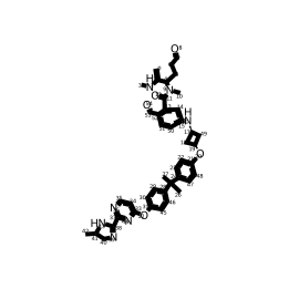 C=C(NC)C(CCC=O)N(C)C(=O)c1cc(N[C@H]2C[C@@H](Oc3ccc(C(C)(C)c4ccc(Oc5ccnc(C6=NCC(C)N6)n5)cc4)cc3)C2)ccc1C=O